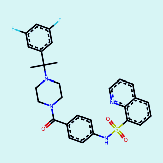 CC(C)(c1cc(F)cc(F)c1)N1CCN(C(=O)c2ccc(NS(=O)(=O)c3cccc4cccnc34)cc2)CC1